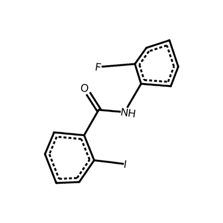 O=C(Nc1ccccc1F)c1ccccc1I